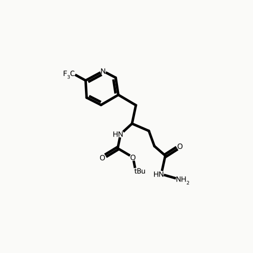 CC(C)(C)OC(=O)NC(CCC(=O)NN)Cc1ccc(C(F)(F)F)nc1